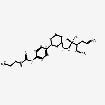 C=CCC(CC)[C@]1(C)C[C@]2(CCCC(c3ccc(OC(=O)NCCN)cc3)C2)OO1